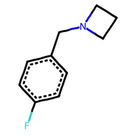 Fc1ccc(CN2CCC2)cc1